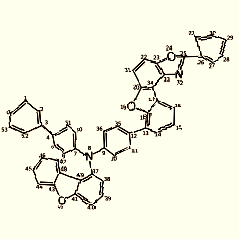 c1ccc(-c2ccc(N(c3ccc(-c4cccc5c4oc4ccc6oc(-c7ccccc7)nc6c45)cc3)c3cccc4oc5ccccc5c34)cc2)cc1